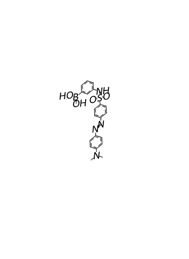 CN(C)c1ccc(/N=N/c2ccc(S(=O)(=O)Nc3cccc(B(O)O)c3)cc2)cc1